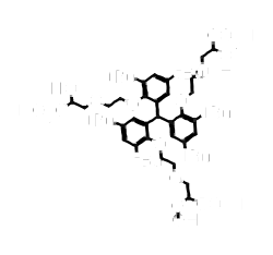 CC(C)(C)c1cc(C(c2cc(C(C)(C)C)cc(C(C)(C)C)c2OCCOCC(O)C(=O)O)c2cc(C(C)(C)C)cc(C(C)(C)C)c2OCCOCC(OO)C(=O)O)c(OCCOCC(O)C(=O)O)c(C(C)(C)C)c1